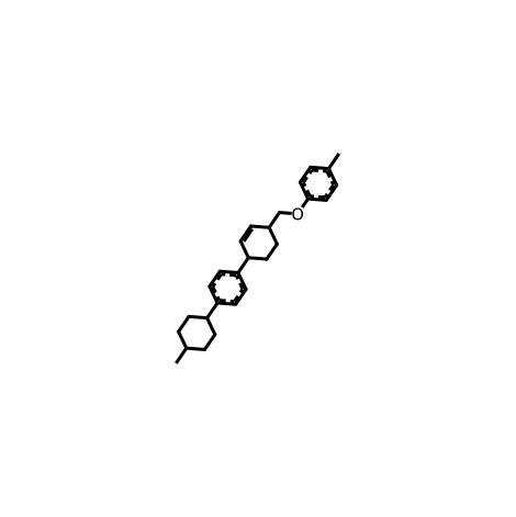 Cc1ccc(OCC2C=CC(c3ccc(C4CCC(C)CC4)cc3)CC2)cc1